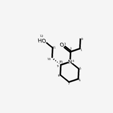 CCC(=O)N1CCCC[C@@H]1CCO